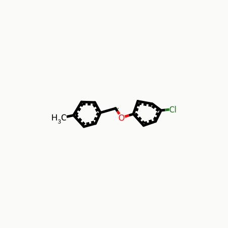 Cc1ccc([CH]Oc2ccc(Cl)cc2)cc1